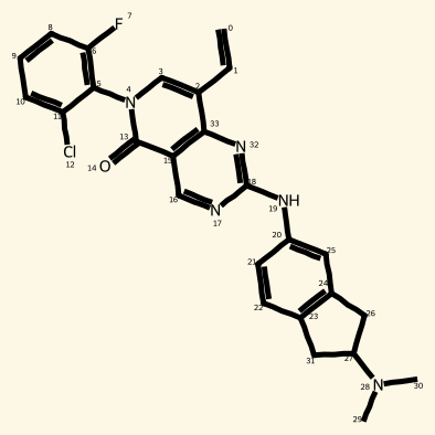 C=Cc1cn(-c2c(F)cccc2Cl)c(=O)c2cnc(Nc3ccc4c(c3)CC(N(C)C)C4)nc12